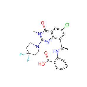 C[C@@H](Nc1ccccc1C(=O)O)c1cc(Cl)cc2c(=O)n(C)c(N3CCC(F)(F)CC3)nc12